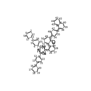 c1ccc(-c2ccc(-c3nc(-c4ccc(-c5ccccc5)cc4)nc(-c4cccc5oc6c(-c7ccc(-c8cccc9ccccc89)cc7)cccc6c45)n3)cc2)cc1